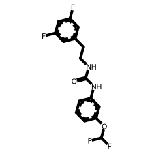 O=C(NCCc1cc(F)cc(F)c1)Nc1cccc(OC(F)F)c1